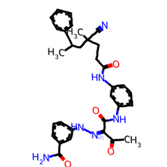 CC(=O)/C(=N/Nc1cccc(C(N)=O)c1)C(=O)Nc1cccc(NC(=O)CCC(C)(C#N)CC(C)c2ccccc2)c1